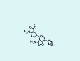 COC(=O)c1cc(-c2ncc(-c3cn[nH]c3)c3onc(N)c23)ccc1N